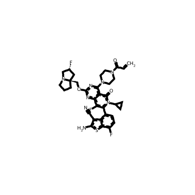 C=CC(=O)N1CCN(c2nc(OC[C@@]34CCCN3C[C@H](F)C4)nc3c(F)c(-c4ccc(F)c5sc(N)c(C#N)c45)n(C4CC4)c(=O)c23)CC1